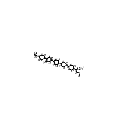 CCCC(O)C1CCC(C2CCC(c3ccc(-c4ccc(C5CCC(C6CO6)CC5)c(F)c4)cc3)CC2)CC1